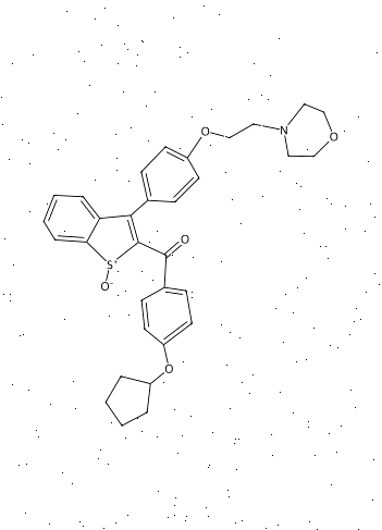 O=C(c1ccc(OC2CCCC2)cc1)c1c(-c2ccc(OCCN3CCOCC3)cc2)c2ccccc2[s+]1[O-]